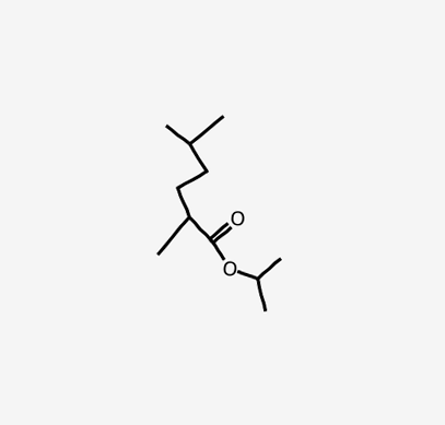 CC(C)CCC(C)C(=O)OC(C)C